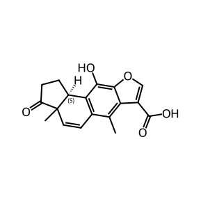 Cc1c2c(c(O)c3occ(C(=O)O)c13)[C@@H]1CCC(=O)C1(C)C=C2